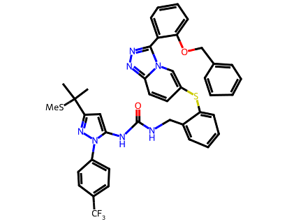 CSC(C)(C)c1cc(NC(=O)NCc2ccccc2Sc2ccc3nnc(-c4ccccc4OCc4ccccc4)n3c2)n(-c2ccc(C(F)(F)F)cc2)n1